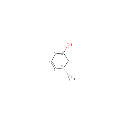 C[C@@H]1C=CC=C(O)C1